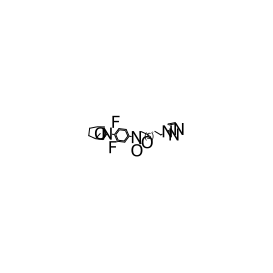 O=C1O[C@@H](CCn2ccnn2)CN1c1cc(F)c(N2CC3CCC(C2)O3)c(F)c1